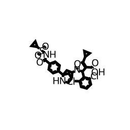 O=C(O)C1=C(C2CC2)ON(C2CC3(c4ccc(C(=O)NS(=O)(=O)C5CC5)cc4)CC2CN3)C1c1c(Cl)cccc1Cl